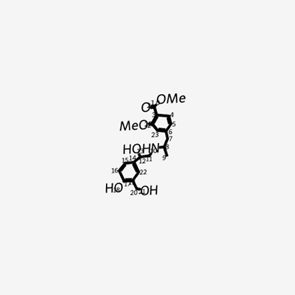 COC(=O)c1ccc(CC(C)NCC(O)c2ccc(O)c(CO)c2)cc1OC